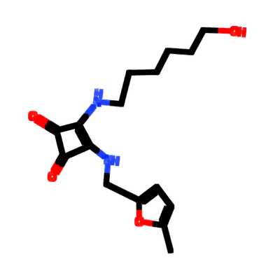 Cc1ccc(CNc2c(NCCCCCCO)c(=O)c2=O)o1